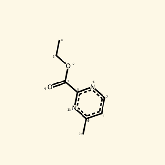 CCOC(=O)c1nccc(C)n1